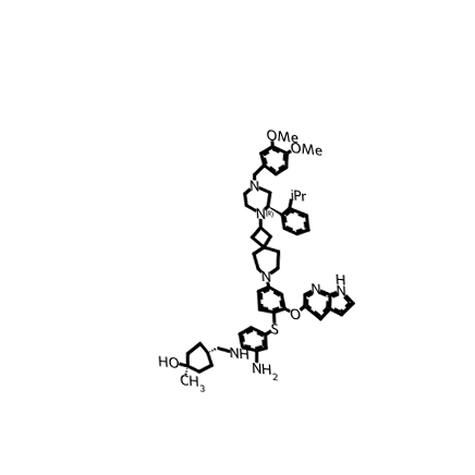 COc1ccc(CN2CCN(C3CC4(CCN(c5ccc(Sc6ccc(NC[C@H]7CC[C@](C)(O)CC7)c(N)c6)c(Oc6cnc7[nH]ccc7c6)c5)CC4)C3)[C@H](c3ccccc3C(C)C)C2)cc1OC